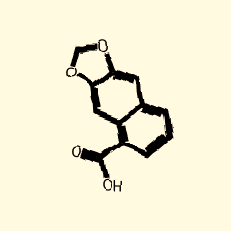 O=C(O)c1cccc2cc3c(cc12)OCO3